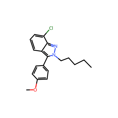 CCCCCn1nc2c(Cl)cccc2c1-c1ccc(OC)cc1